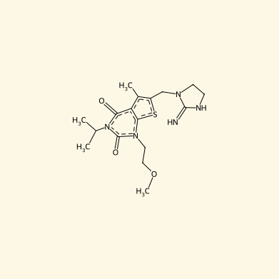 COCCn1c(=O)n(C(C)C)c(=O)c2c(C)c(CN3CCNC3=N)sc21